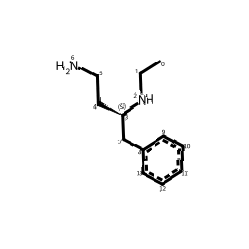 CCN[C@H](CCN)Cc1ccccc1